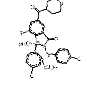 CCOC(=O)C[C@@H](c1ccc(Cl)cc1)N1C(=O)c2cc(C(=O)C3CCOCC3)cc(F)c2[C@]1(OC)c1ccc(Cl)cc1